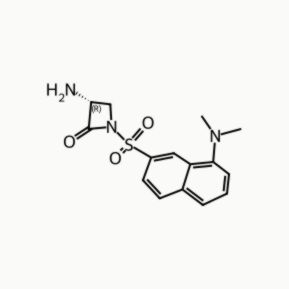 CN(C)c1cccc2ccc(S(=O)(=O)N3C[C@@H](N)C3=O)cc12